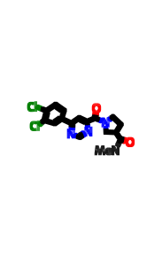 CNC(=O)C1CCN(C(=O)c2cc(-c3ccc(Cl)c(Cl)c3)ncn2)C1